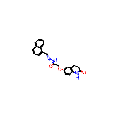 O=C(COc1ccc2c(c1)CCC(=O)N2)N/N=C/c1cccc2ccccc12